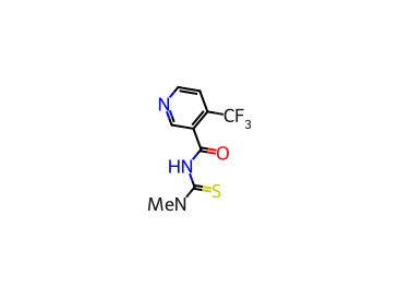 CNC(=S)NC(=O)c1cnccc1C(F)(F)F